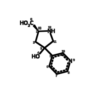 O=C(O)[C@@H]1CC(O)(c2cccnc2)CN1